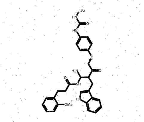 CCCCNC(=O)Nc1ccc(OCC(=O)C(Cc2c[nH]c3ccccc23)C(N)NC(=O)CCc2ccccc2OC)cc1